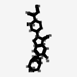 O=CC(=O)C1CCC(N2Cc3cc(N4C5CCC4CNC5)c(F)cc3C2=O)CN1